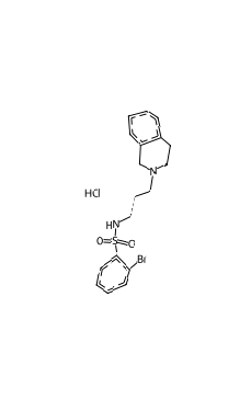 Cl.O=S(=O)(NCCCN1CCc2ccccc2C1)c1ccccc1Br